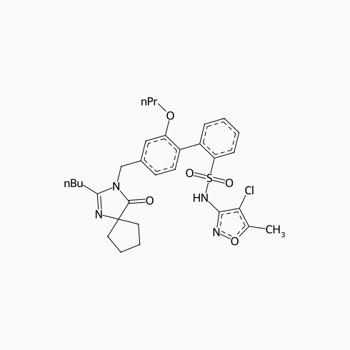 CCCCC1=NC2(CCCC2)C(=O)N1Cc1ccc(-c2ccccc2S(=O)(=O)Nc2noc(C)c2Cl)c(OCCC)c1